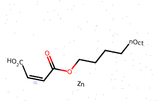 CCCCCCCCCCCCOC(=O)/C=C\C(=O)O.[Zn]